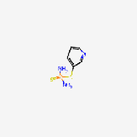 NP(N)(=S)Sc1cccnc1